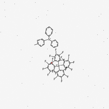 Cc1ccc([S+](c2ccccc2)c2ccccc2)cc1.Fc1c(F)c(F)[c]([Ga-]([c]2c(F)c(F)c(F)c(F)c2F)([c]2c(F)c(F)c(F)c(F)c2F)[c]2c(F)c(F)c(F)c(F)c2F)c(F)c1F